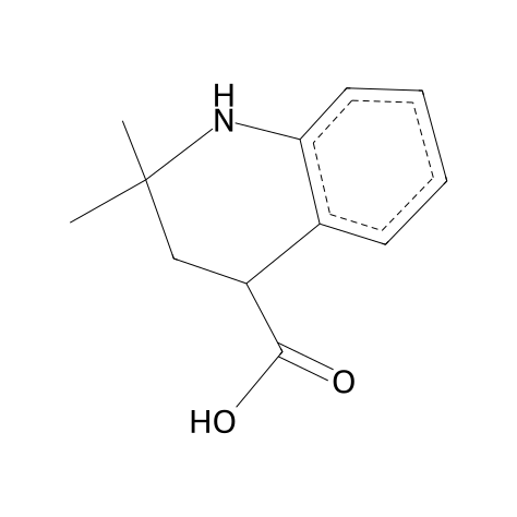 CC1(C)CC(C(=O)O)c2ccccc2N1